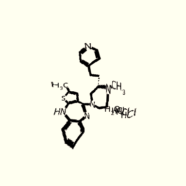 Cc1cc2c(s1)Nc1ccccc1N=C2N1CCN(C)[C@@H](CCc2ccncc2)C1.Cl.Cl.Cl.O